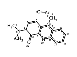 CC(=O)[O-].CN(C)C1C=Cc2c(nc3ccccc3[n+]2C)C1=O